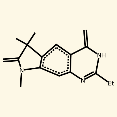 C=C1NC(CC)=Nc2cc3c(cc21)C(C)(C)C(=C)N3C